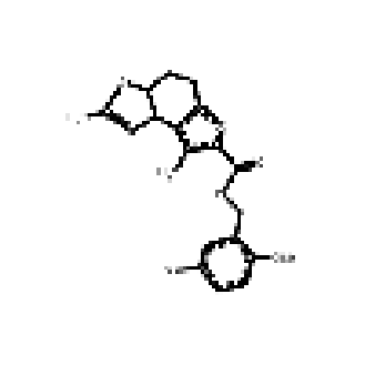 COc1ccc(Br)cc1CNC(=O)c1oc2c(c1C)C1N=C(C)SC1CC2